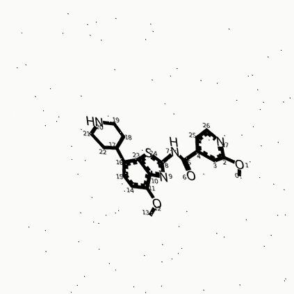 COc1cc(C(=O)Nc2nc3c(OC)ccc(C4CCNCC4)c3s2)ccn1